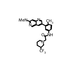 CNc1cc2ncc(-c3cc(NC(=O)CN4CCCC(C(F)(F)F)C4)ccc3C)cc2cn1